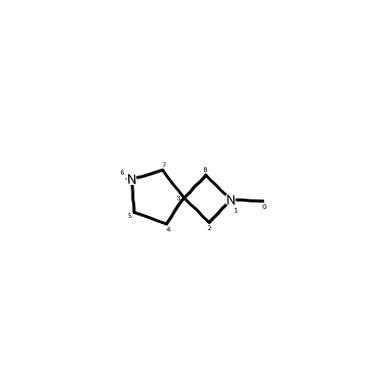 CN1CC2(CC[N]C2)C1